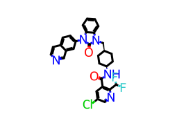 O=C(N[C@H]1CC[C@H](Cn2c(=O)n(-c3ccc4ccncc4c3)c3ccccc32)CC1)c1cc(Cl)cnc1C(F)F